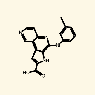 Cc1cccc(Nc2nc3ccncc3c3cc(C(=O)O)[nH]c23)c1